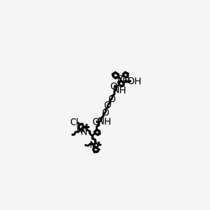 CCCC[n+]1cc(Cl)cc2c1N=C(/C=C/C(=C/C=C1\N(CCC)c3ccccc3C1(C)C)c1cccc(CCC(=O)NCCCOCCOCCOCCCNC(=O)c3ccc(C(=O)CO)c(P(c4ccccc4)c4ccccc4)c3)c1)C2(C)C